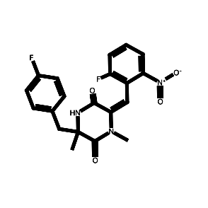 CN1C(=O)C(C)(Cc2ccc(F)cc2)NC(=O)/C1=C\c1c(F)cccc1[N+](=O)[O-]